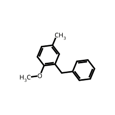 COc1ccc(C)cc1Cc1ccccc1